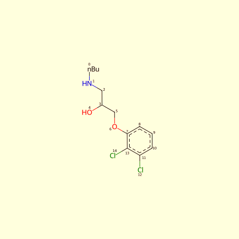 CCCCNCC(O)COc1cccc(Cl)c1Cl